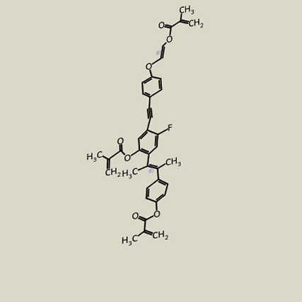 C=C(C)C(=O)O/C=C/Oc1ccc(C#Cc2cc(OC(=O)C(=C)C)c(/C(C)=C(\C)c3ccc(OC(=O)C(=C)C)cc3)cc2F)cc1